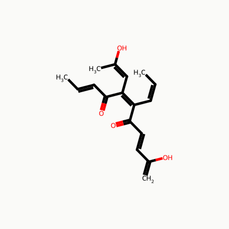 C=C(O)/C=C/C(=O)C(/C=C\C)=C(/C=C(\C)O)C(=O)/C=C/C